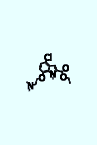 CCOC(=O)c1cc2c(Cl)ccc(OCCN(C)C)c2n1C